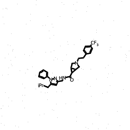 CC(C)Cc1cc(CNC(=O)C2C3CN(CCc4ccc(C(F)(F)F)cc4)CC32)nn1-c1ccccc1